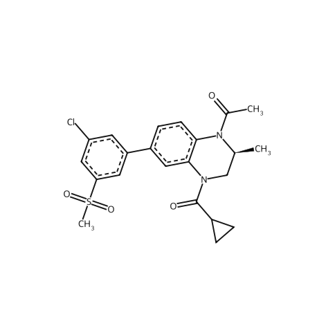 CC(=O)N1c2ccc(-c3cc(Cl)cc(S(C)(=O)=O)c3)cc2N(C(=O)C2CC2)C[C@@H]1C